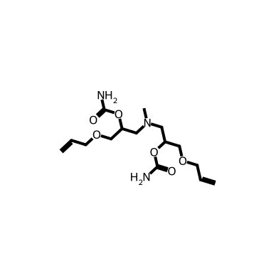 C=CCOCC(CN(C)CC(COCC=C)OC(N)=O)OC(N)=O